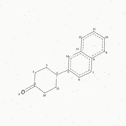 O=C1CCC(c2ccc3ccccc3c2)CC1